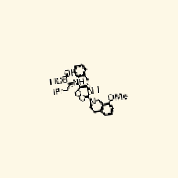 COc1cccc2c1CN(C(=O)N[C@@H](Cc1ccccc1)C(=O)N[C@@H](CC(C)C)B(O)O)CC2